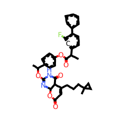 CC(OC1=NC2OC(=O)C=C(CCCC3(C)CC3)C2C(=O)N1)c1ccc(OC(=O)C(C)c2ccc(-c3ccccc3)c(F)c2)cc1